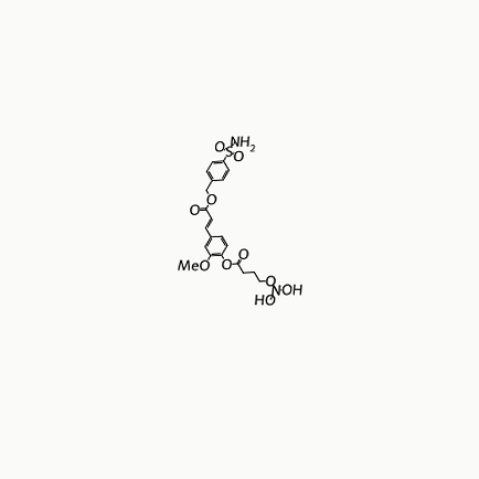 COc1cc(/C=C/C(=O)OCc2ccc(S(N)(=O)=O)cc2)ccc1OC(=O)CCCON(O)O